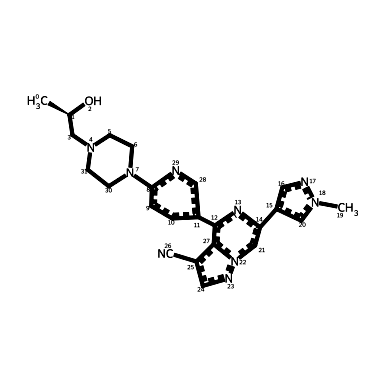 C[C@@H](O)CN1CCN(c2ccc(-c3nc(-c4cnn(C)c4)cn4ncc(C#N)c34)cn2)CC1